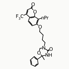 CCCc1c(OCCCCN2COC(C)(c3ccccc3)NC2=O)ccc2c(C(F)(F)F)cc(=O)oc12